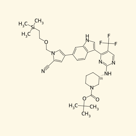 CC(C)(C)OC(=O)N1CCC[C@H](Nc2ncc(C(F)(F)F)c(-c3c[nH]c4cc(-c5cc(C#N)n(COCC[Si](C)(C)C)c5)ccc34)n2)C1